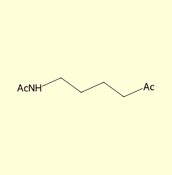 CC(=O)CCCCNC(C)=O